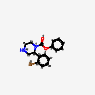 O=C(Oc1ccccc1)N1CCNCC1c1ccccc1Br